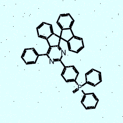 C=P(c1ccccc1)(c1ccccc1)c1ccc(-c2nc(-c3ccccc3)c3c(n2)C2(c4ccccc4-c4ccccc42)c2ccccc2-3)cc1